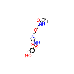 Cc1cc(S(=O)(=O)N[C@H]2CCN(CCOCCNC(=O)C(F)(F)F)C2)ccc1O